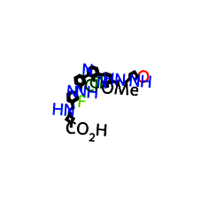 COc1nc(-c2ccnc(-c3cccc(Nc4nccc(CNC5CC(C(=O)O)C5)c4F)c3Cl)c2Cl)ccc1CNCC1CCC(=O)N1